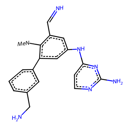 CNc1c(C=N)cc(Nc2ccnc(N)n2)cc1-c1cccc(CN)c1